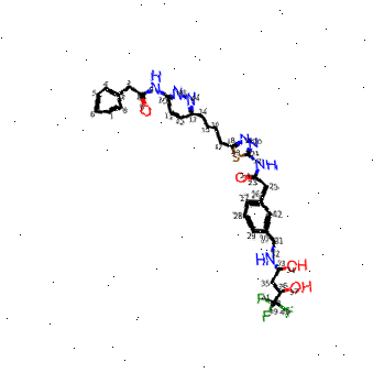 O=C(Cc1ccccc1)Nc1ccc(CCCCc2nnc(NC(=O)Cc3cccc(CNC(O)CC(O)C(F)(F)F)c3)s2)nn1